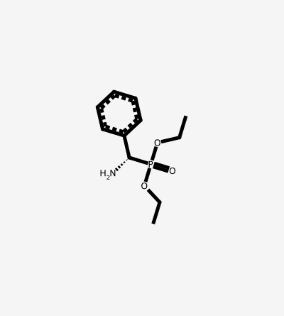 CCOP(=O)(OCC)[C@H](N)c1ccccc1